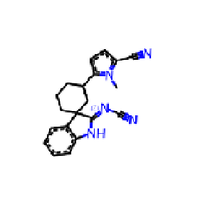 Cn1c(C#N)ccc1C1CCCC2(C1)/C(=N/C#N)Nc1ccccc12